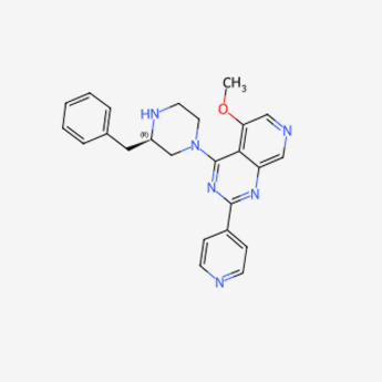 COc1cncc2nc(-c3ccncc3)nc(N3CCN[C@H](Cc4ccccc4)C3)c12